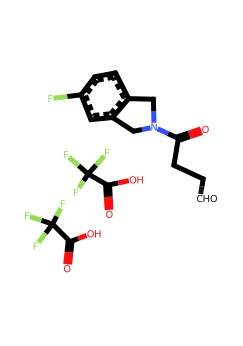 O=C(O)C(F)(F)F.O=C(O)C(F)(F)F.O=CCCC(=O)N1Cc2ccc(F)cc2C1